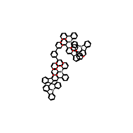 c1ccc(-c2ccc(N(c3ccccc3-c3cccc(-c4ccc(-c5cccc(-c6cccc(-c7ccccc7N(c7ccccc7-c7ccccc7)c7ccccc7-c7ccc8c(c7)C7(c9ccccc9-8)c8ccccc8-n8c9ccccc9c9cccc7c98)c6)c5)cc4)c3)c3ccccc3-c3ccc4c(c3)C3(c5ccccc5-4)c4ccccc4-n4c5ccccc5c5cccc3c54)cc2)cc1